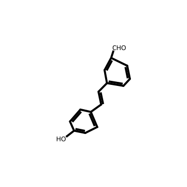 O=Cc1cccc(/C=C/c2ccc(O)cc2)c1